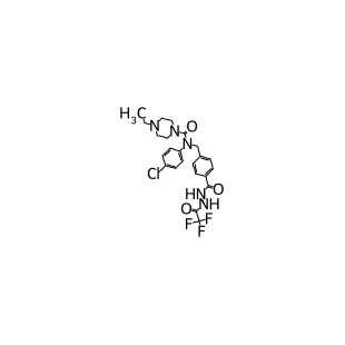 CCN1CCN(C(=O)N(Cc2ccc(C(=O)NNC(=O)C(F)(F)F)cc2)c2ccc(Cl)cc2)CC1